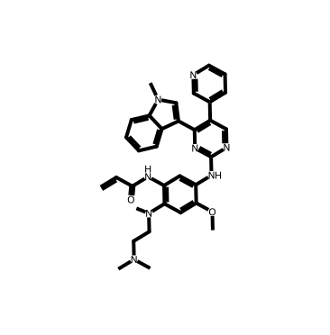 C=CC(=O)Nc1cc(Nc2ncc(-c3cccnc3)c(-c3cn(C)c4ccccc34)n2)c(OC)cc1N(C)CCN(C)C